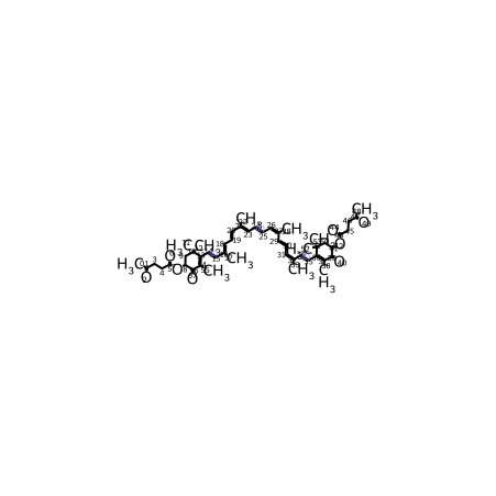 CC(=O)CCC(=O)OC1CC(C)(C)C(/C=C/C(C)=CC=CC(C)=C/C=C/C=C(C)C=CC=C(C)/C=C/C2=C(C)C(=O)C(OC(=O)CCC(C)=O)CC2(C)C)=C(C)C1=O